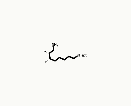 CCCCCCCCCCCC[C@H](C)[C@H](C)CN